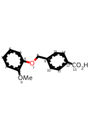 COc1ccccc1OCc1ccc(C(=O)O)cc1